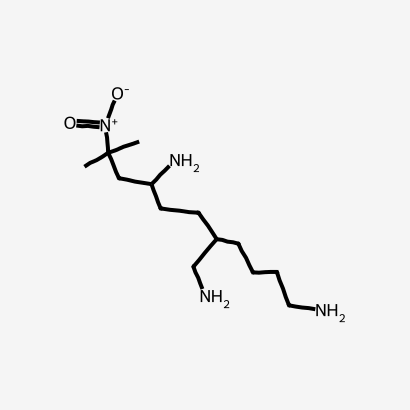 CC(C)(CC(N)CCC(CN)CCCCN)[N+](=O)[O-]